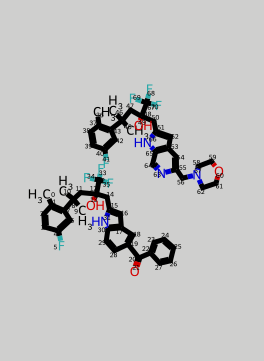 Cc1ccc(F)cc1C(C)(C)CC(O)(Cc1cc2cc(C(=O)c3ccccc3)ccc2[nH]1)C(F)(F)F.Cc1ccc(F)cc1C(C)(C)CC(O)(Cc1cc2cc(CN3CCOCC3)ncc2[nH]1)C(F)(F)F